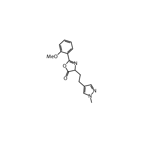 COc1ccccc1C1=NC(CCc2cnn(C)c2)C(=O)O1